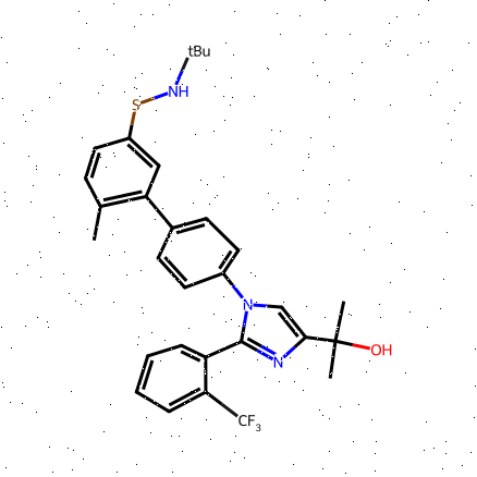 Cc1ccc(SNC(C)(C)C)cc1-c1ccc(-n2cc(C(C)(C)O)nc2-c2ccccc2C(F)(F)F)cc1